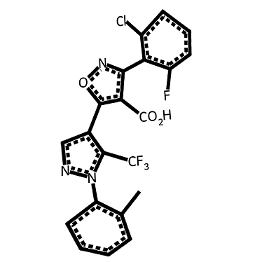 Cc1ccccc1-n1ncc(-c2onc(-c3c(F)cccc3Cl)c2C(=O)O)c1C(F)(F)F